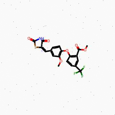 COC(=O)c1cc(C(F)(F)F)ccc1Oc1ccc(/C=C2/SC(=O)NC2=O)cc1OC